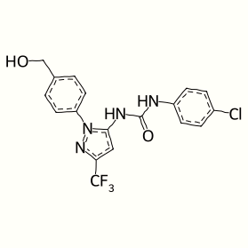 O=C(Nc1ccc(Cl)cc1)Nc1cc(C(F)(F)F)nn1-c1ccc(CO)cc1